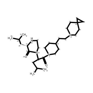 CC(C)CC(C(=O)N1CCC(CCN2CCC3(CC2)CC3)CC1)N1CCN[C@@H](CC(C)C)C1=O